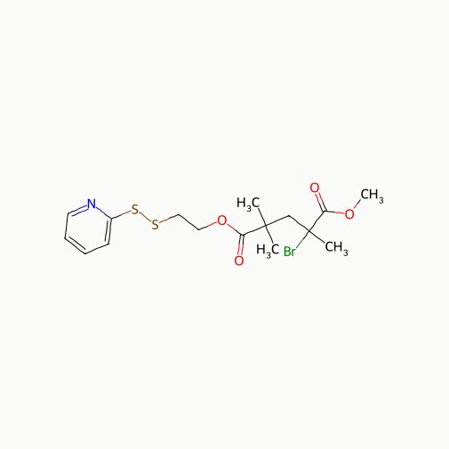 COC(=O)C(C)(Br)CC(C)(C)C(=O)OCCSSc1ccccn1